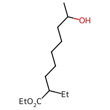 CCOC(=O)C(CC)CCCCCC(C)O